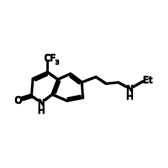 CCNCCCc1ccc2[nH]c(=O)cc(C(F)(F)F)c2c1